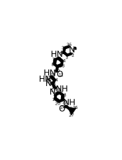 CN1CCC(Nc2ccc(C(=O)Nc3cc(-c4nc5ccc(NC(=O)C6CC6)cc5[nH]4)n[nH]3)cc2)CC1